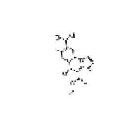 CCOC(=O)c1c(=O)c2cc(F)c(C(Cl)Cl)cc2n2ccsc12